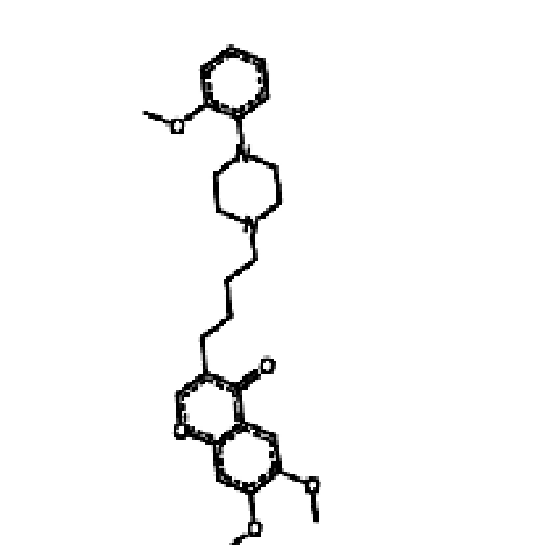 COc1cc2occ(CCCCN3CCN(c4ccccc4OC)CC3)c(=O)c2cc1OC